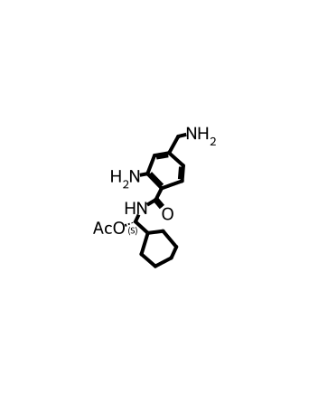 CC(=O)O[C@H](NC(=O)c1ccc(CN)cc1N)C1CCCCC1